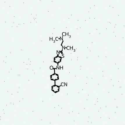 CN(C)CCN(C)c1nc2ccc(NC(=O)c3ccc(-c4ccccc4C#N)cc3)cc2s1